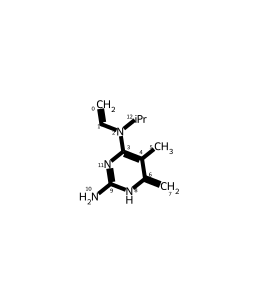 C=CN(C1=C(C)C(=C)NC(N)=N1)C(C)C